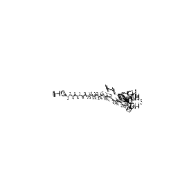 C#CCCCCCCCCCCCCCCCCCCCC(C(=O)O)C(=O)OC(C)(C)C